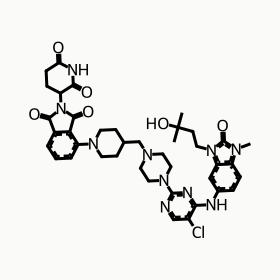 Cn1c(=O)n(CCC(C)(C)O)c2cc(Nc3nc(N4CCN(CC5CCN(c6cccc7c6C(=O)N(C6CCC(=O)NC6=O)C7=O)CC5)CC4)ncc3Cl)ccc21